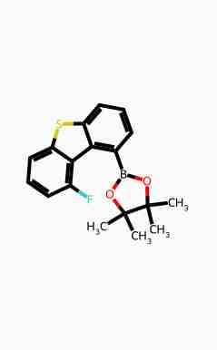 CC1(C)OB(c2cccc3sc4cccc(F)c4c23)OC1(C)C